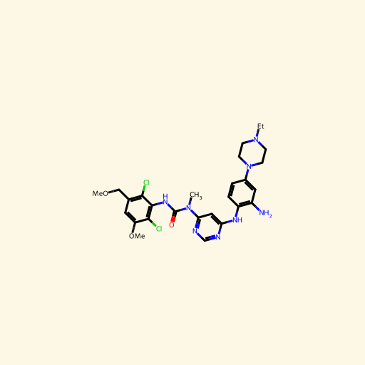 CCN1CCN(c2ccc(Nc3cc(N(C)C(=O)Nc4c(Cl)c(COC)cc(OC)c4Cl)ncn3)c(N)c2)CC1